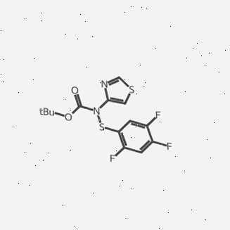 CC(C)(C)OC(=O)N(Sc1cc(F)c(F)cc1F)c1cscn1